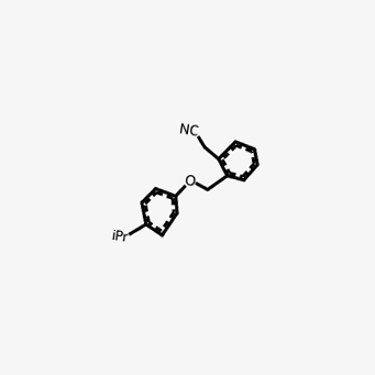 CC(C)c1ccc(OCc2ccccc2CC#N)cc1